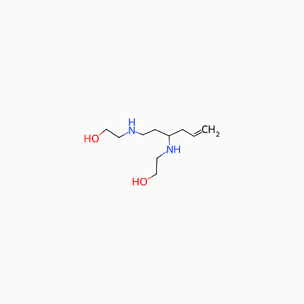 C=CCC(CCNCCO)NCCO